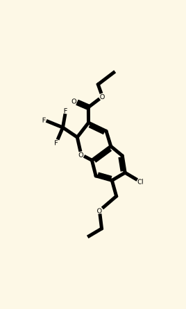 CCOCc1cc2c(cc1Cl)C=C(C(=O)OCC)C(C(F)(F)F)O2